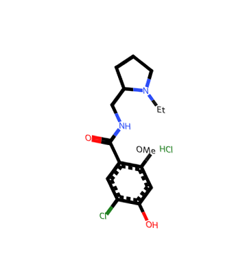 CCN1CCCC1CNC(=O)c1cc(Cl)c(O)cc1OC.Cl